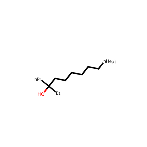 CCCCCCCCCCCCCC(O)(CC)CCC